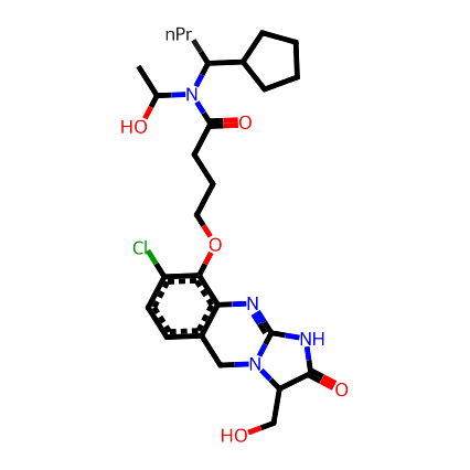 CCCC(C1CCCC1)N(C(=O)CCCOc1c(Cl)ccc2c1N=C1NC(=O)C(CO)N1C2)C(C)O